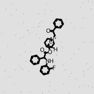 O=C(C[N+]12CCC(CC1)[C@@H](OC(=O)C(Nc1ccccc1F)c1ccccc1)C2)c1ccccc1